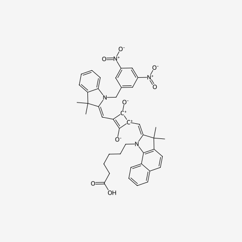 CC1(C)C(=Cc2c([O-])[c+](C=C3N(CCCCCC(=O)O)c4c(ccc5ccccc45)C3(C)C)[c+]2[O-])N(Cc2cc([N+](=O)[O-])cc([N+](=O)[O-])c2)c2ccccc21